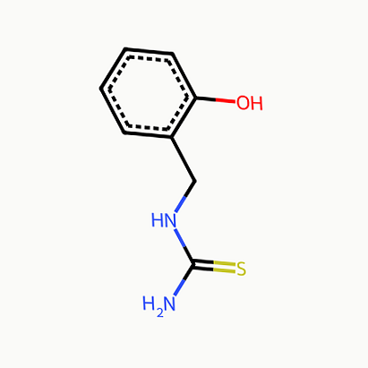 NC(=S)NCc1ccccc1O